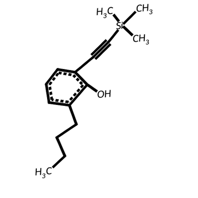 CCCCc1cccc(C#C[Si](C)(C)C)c1O